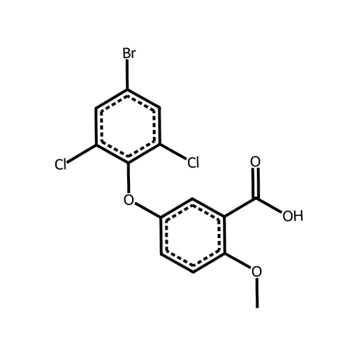 COc1ccc(Oc2c(Cl)cc(Br)cc2Cl)cc1C(=O)O